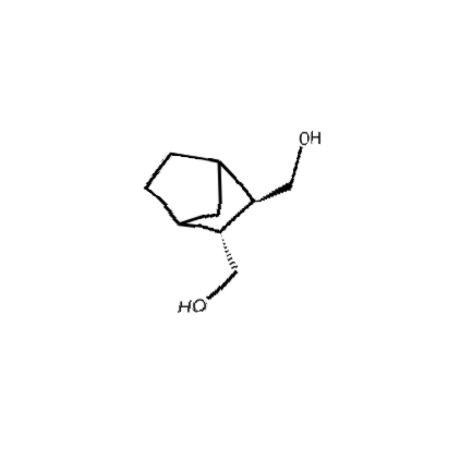 OC[C@@H]1C2CCC(C2)[C@H]1CO